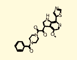 COc1cnc(-c2cncs2)c2c1C(C(=O)C(=O)N1CCN(C(=O)c3ccccc3)CC1)CN2